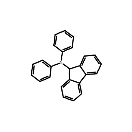 c1ccc(N(c2ccccc2)C2c3ccccc3-c3ccccc32)cc1